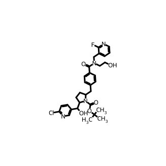 CC(C)(C)OC(=O)N1C(Cc2ccc(C(=O)N(CCO)Cc3cccnc3F)cc2)CCC1C(O)c1ccc(Cl)nc1